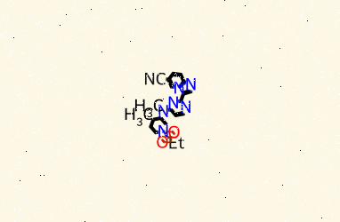 CCS(=O)(=O)N1CCC(C)C(N(C)c2ccnc(-c3cnc4ccc(C#N)cn34)n2)C1